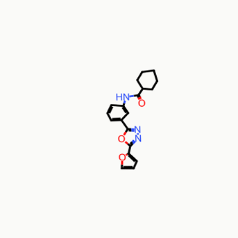 O=C(Nc1cccc(-c2nnc(-c3ccco3)o2)c1)C1CCCCC1